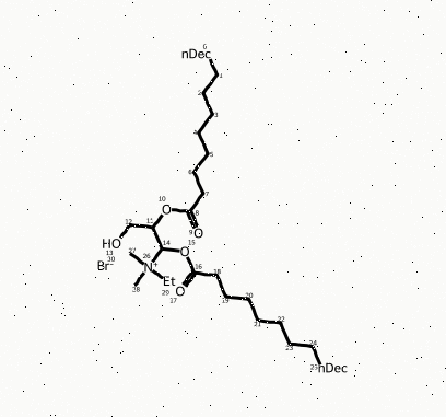 CCCCCCCCCCCCCCCCCC(=O)OC(CO)C(OC(=O)CCCCCCCCCCCCCCCCC)[N+](C)(C)CC.[Br-]